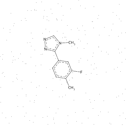 Cc1ccc(-c2nncn2C)cc1F